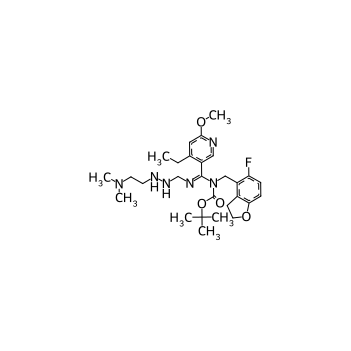 CCc1cc(OC)ncc1/C(=N\CNNCCN(C)C)N(Cc1c(F)ccc2c1CCO2)C(=O)OC(C)(C)C